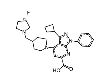 O=C(O)c1cc(N2CCC(CN3CC[C@H](F)C3)CC2)c2c(C3CCC3)nn(-c3ccccc3)c2n1